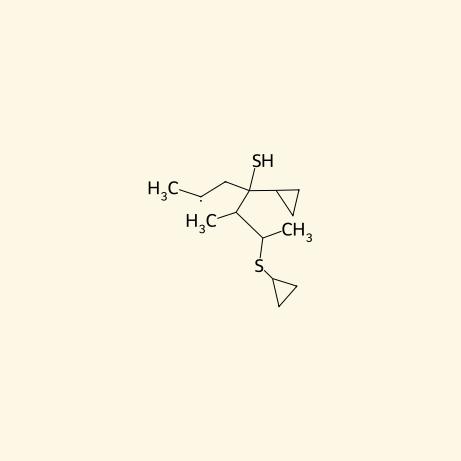 C[CH]CC(S)(C1CC1)C(C)C(C)SC1CC1